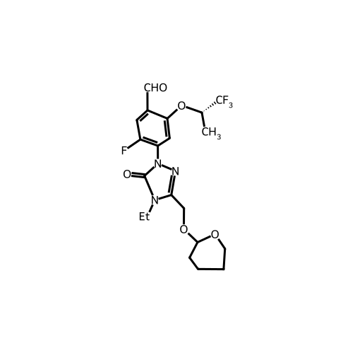 CCn1c(COC2CCCCO2)nn(-c2cc(O[C@@H](C)C(F)(F)F)c(C=O)cc2F)c1=O